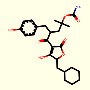 CC(C)(CC(Cc1ccc(O)cc1)C(=O)C1=C(O)C(CC2CCCCC2)OC1=O)OC(N)=O